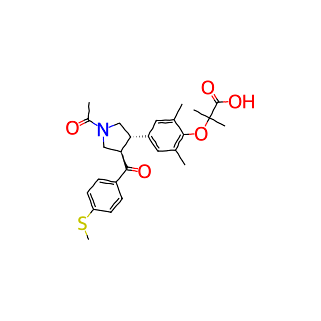 CSc1ccc(C(=O)[C@H]2CN(C(C)=O)C[C@@H]2c2cc(C)c(OC(C)(C)C(=O)O)c(C)c2)cc1